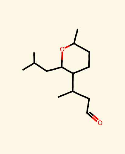 CC(C)CC1OC(C)CCC1C(C)CC=O